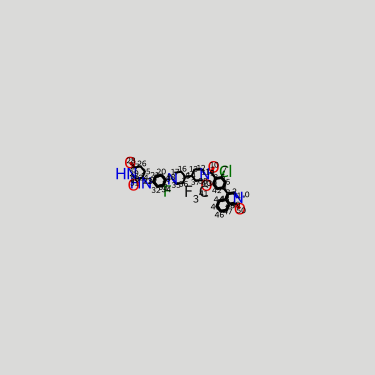 Cn1cc(-c2cc(Cl)c(C(=O)N3CCC(C4CCN(c5ccc(NC6CCC(=O)NC6=O)cc5F)CC4)CC3)c(OC(F)(F)F)c2)c2ccccc2c1=O